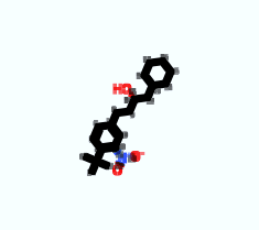 CC(C)(C)c1ccc(CC[C@@H](O)CC2CCCCC2)cc1[N+](=O)[O-]